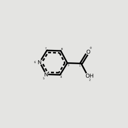 O=C(O)c1[c]nncc1